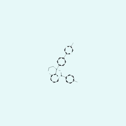 Cc1cnc(-c2ccc([C@@]3(NC(=O)c4ccc(F)cc4)CCOc4cccnc43)cc2)cn1